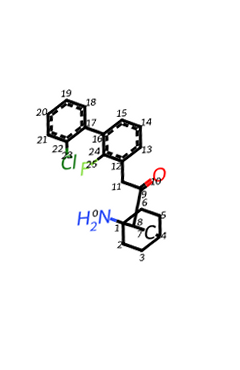 NC12CCC(CC1)CC2C(=O)Cc1cccc(-c2ccccc2Cl)c1F